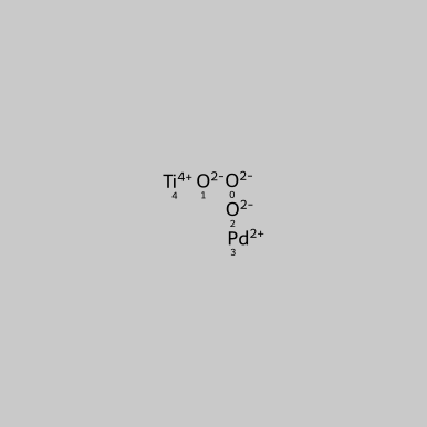 [O-2].[O-2].[O-2].[Pd+2].[Ti+4]